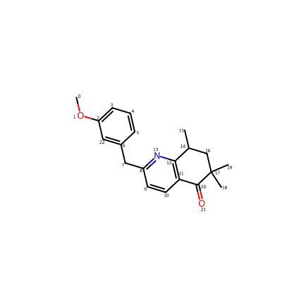 COc1cccc(Cc2ccc3c(n2)C(C)CC(C)(C)C3=O)c1